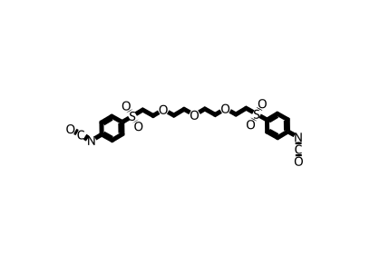 O=C=Nc1ccc(S(=O)(=O)CCOCCOCCOCCS(=O)(=O)c2ccc(N=C=O)cc2)cc1